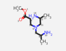 COC(=O)CCN(CC(C)N)CC(C)N